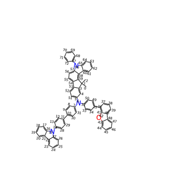 CC1(C)c2cc(N(c3ccc(-c4ccc(-n5c6ccccc6c6ccccc65)cc4)cc3)c3ccc(-c4cccc5c4oc4ccccc45)cc3)ccc2-c2ccc3c(c21)c1ccccc1n3-c1ccccc1